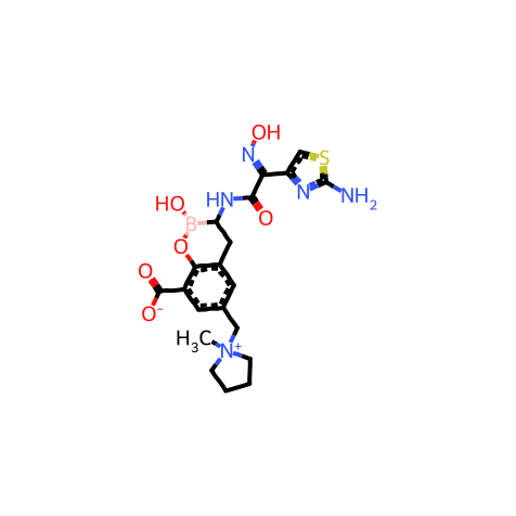 C[N+]1(Cc2cc3c(c(C(=O)[O-])c2)OB(O)C(NC(=O)C(=NO)c2csc(N)n2)C3)CCCC1